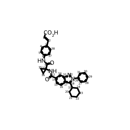 O=C(O)C=Cc1ccc(NC(=O)C2(NC(=O)c3ccc4c(C5CCCCC5)n(-c5ccccc5)nc4c3)CC2)cc1